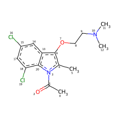 CC(=O)n1c(C)c(OCCN(C)C)c2cc(Cl)cc(Cl)c21